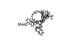 COc1cccc(N[C@H]2CCCCC/C=C\[C@@H]3C[C@@]3(C(=O)NS(=O)(=O)C3CC3)NC(=O)[C@@H]3C[C@@H](Oc4nccc5ccccc45)CN3C2=O)c1